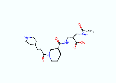 CC(=O)NCC(CNC(=O)[C@@H]1CCCN(C(=O)CCC2CCNCC2)C1)C(=O)O